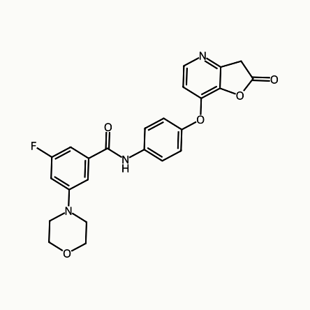 O=C1Cc2nccc(Oc3ccc(NC(=O)c4cc(F)cc(N5CCOCC5)c4)cc3)c2O1